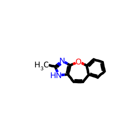 Cc1nc2c([nH]1)C=Cc1ccccc1O2